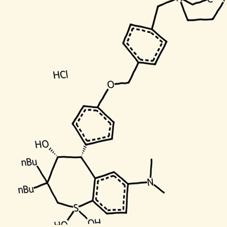 CCCCC1(CCCC)CS(O)(O)c2ccc(N(C)C)cc2[C@@H](c2ccc(OCc3ccc(C[N+]45CCN(CC4)CC5)cc3)cc2)[C@H]1O.Cl